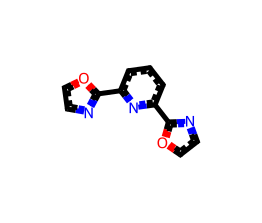 c1cc(-c2ncco2)nc(-c2ncco2)c1